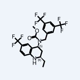 CC[C@@H]1C[C@H](N(Cc2cc(C(F)(F)F)cc(C(F)(F)F)c2)C(=O)OC)c2cc(C(F)(F)F)ccc2N1